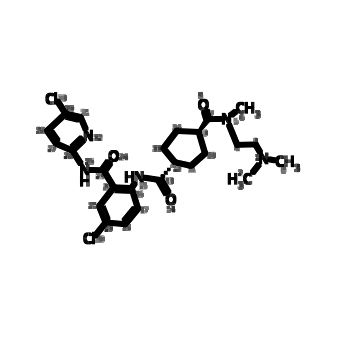 CN(C)CCN(C)C(=O)[C@H]1CC[C@H](C(=O)Nc2ccc(Cl)cc2C(=O)Nc2ccc(Cl)cn2)CC1